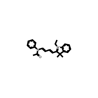 CC[N+]1=C(/C=C/C=C/N(C(C)=O)c2ccccc2)C(C)(C)c2ccccc21